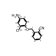 N#Cc1cc[c]cc1COc1ccc(N)cc1Cl